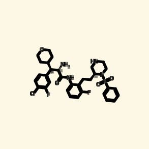 N[C@H](C(=O)Nc1cccc(F)c1CC[C@H]1CNCCN1S(=O)(=O)c1ccccc1)[C@@H](c1ccc(Cl)c(F)c1)C1CCOCC1